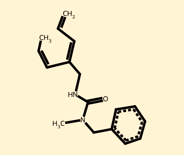 C=C/C=C(\C=C/C)CNC(=O)N(C)Cc1ccccc1